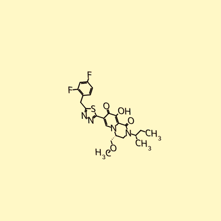 CC[C@@H](C)N1C[C@H](COC)n2cc(-c3nnc(Cc4ccc(F)cc4F)s3)c(=O)c(O)c2C1=O